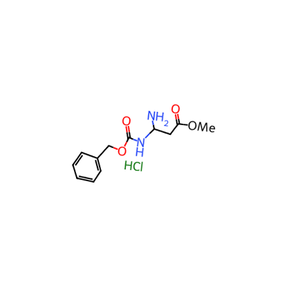 COC(=O)CC(N)NC(=O)OCc1ccccc1.Cl